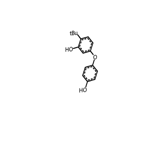 CC(C)(C)c1ccc(Oc2ccc(O)cc2)cc1O